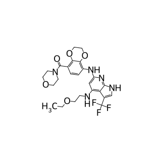 CCOCCNc1cc(Nc2ccc(C(=O)N3CCOCC3)c3c2OCCO3)nc2[nH]cc(C(F)(F)F)c12